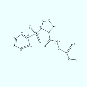 COC(=O)CNC(=O)C1CCCN1S(=O)(=O)c1ccccc1